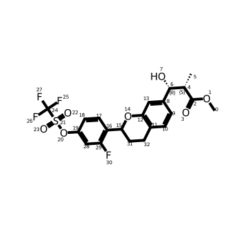 COC(=O)[C@@H](C)[C@@H](O)c1ccc2c(c1)OC(c1ccc(OS(=O)(=O)C(F)(F)F)cc1F)CC2